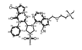 C[Si](C)(C)CCOCn1cc(C#N)c2c(N3C[C@@H](S(C)(=O)=O)CC3c3nn4ccc(Cl)c4c(=O)n3-c3ccccc3)ncnc21